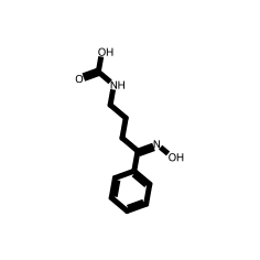 O=C(O)NCCC/C(=N/O)c1ccccc1